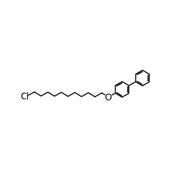 ClCCCCCCCCCCCOc1ccc(-c2ccccc2)cc1